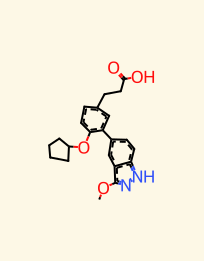 COc1n[nH]c2ccc(-c3cc(CCC(=O)O)ccc3OC3CCCC3)cc12